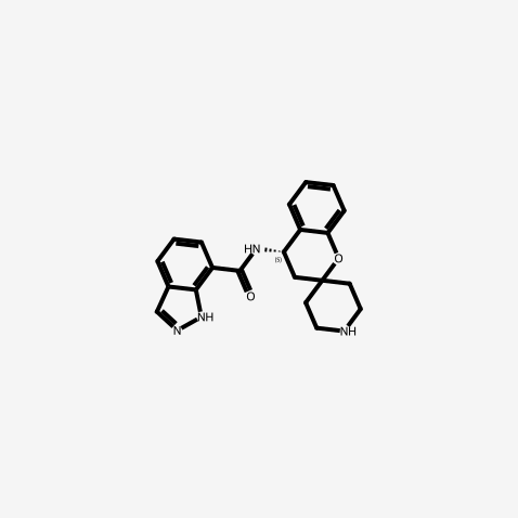 O=C(N[C@H]1CC2(CCNCC2)Oc2ccccc21)c1cccc2cn[nH]c12